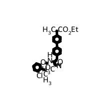 CCOC(=O)C(C)c1ccc(-c2ccc(-c3onc(C)c3NC(=O)OC(C)c3ccccc3Cl)cc2)cc1